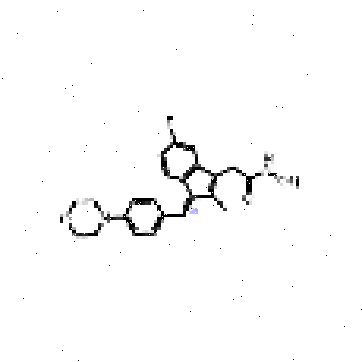 CC1=C(CC(=O)NO)c2cc(F)ccc2/C1=C\c1ccc(N2CCOCC2)cc1